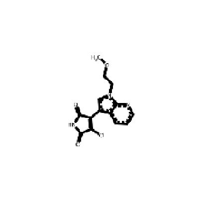 COCCn1cc(C2=C(Cl)C(=O)NC2=O)c2cccnc21